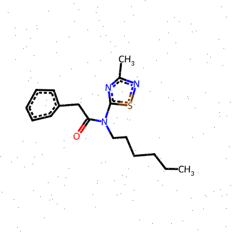 CCCCCCN(C(=O)Cc1ccccc1)c1nc(C)ns1